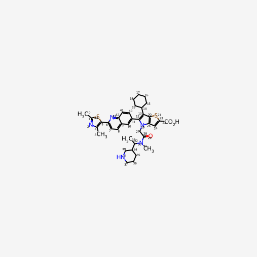 Cc1nc(C)c(-c2ccc3cc(-c4c(C5CCCCC5)c5sc(C(=O)O)cc5n4CC(=O)N(C)C(C)C4CCCNC4)ccc3n2)s1